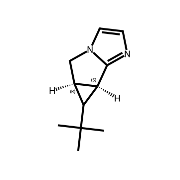 CC(C)(C)C1[C@H]2Cn3ccnc3[C@@H]12